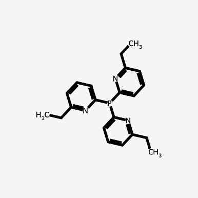 CCc1cccc(P(c2cccc(CC)n2)c2cccc(CC)n2)n1